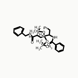 CC(C)CC(NC(=O)c1ccccc1)[Si](CCC(=O)NCc1ccccc1)(O[Si](C)(C)C)O[Si](C)(C)C